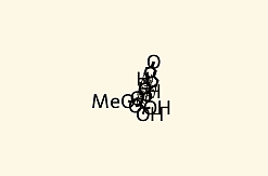 COCO[C@]1(C(=O)C(O)O)CC[C@H]2[C@@H]3CCC4=CC(=O)CC[C@]4(C)[C@H]3CC[C@@]21C